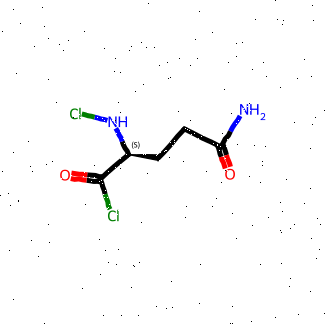 NC(=O)CC[C@H](NCl)C(=O)Cl